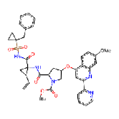 C=CC1CC1(NC(=O)C1CC(Oc2cc(-c3ccccn3)nc3cc(OC)ccc23)CN1C(=O)OC(C)(C)C)C(=O)NS(=O)(=O)C1(Cc2ccccc2)CC1